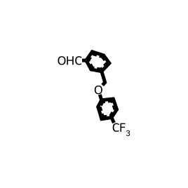 O=Cc1cccc(COc2ccc(C(F)(F)F)cc2)c1